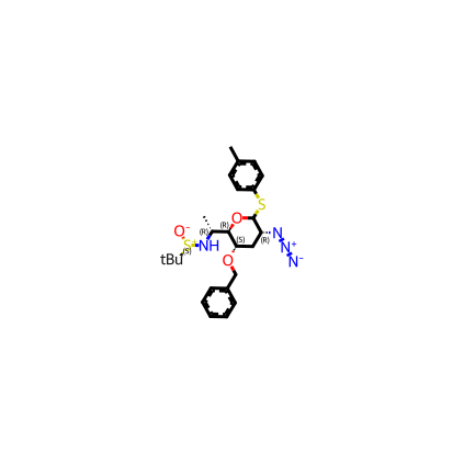 Cc1ccc(SC2O[C@H]([C@@H](C)N[S@+]([O-])C(C)(C)C)[C@@H](OCc3ccccc3)C[C@H]2N=[N+]=[N-])cc1